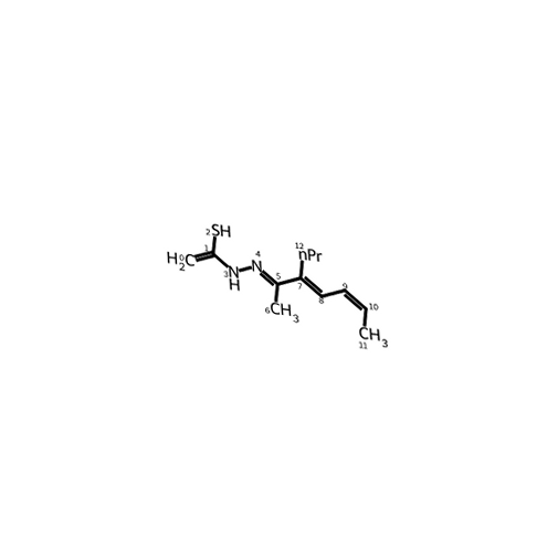 C=C(S)N/N=C(C)/C(=C/C=C\C)CCC